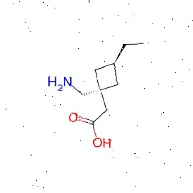 CC[C@H]1C[C@@](CN)(CC(=O)O)C1